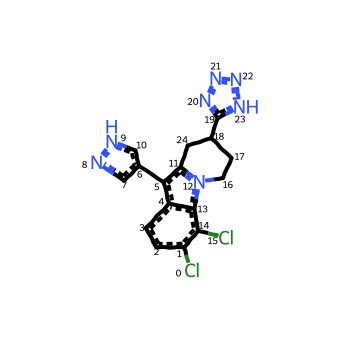 Clc1ccc2c(-c3cn[nH]c3)c3n(c2c1Cl)CCC(c1nnn[nH]1)C3